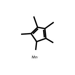 C[C]1C(C)=C(C)C(C)=C1C.[Mn]